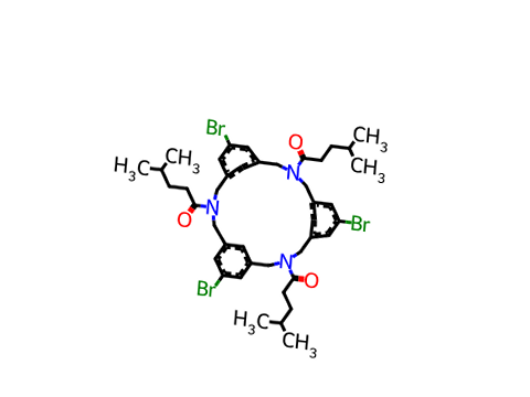 CC(C)CCC(=O)N1Cc2cc(Br)cc(c2)CN(C(=O)CCC(C)C)Cc2cc(Br)cc(c2)CN(C(=O)CCC(C)C)Cc2cc(Br)cc(c2)C1